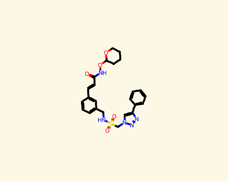 O=C(/C=C/c1cccc(CNS(=O)(=O)Cn2cc(-c3ccccc3)nn2)c1)NOC1CCCCO1